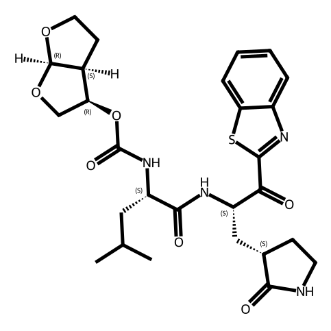 CC(C)C[C@H](NC(=O)O[C@H]1CO[C@H]2OCC[C@H]21)C(=O)N[C@@H](C[C@@H]1CCNC1=O)C(=O)c1nc2ccccc2s1